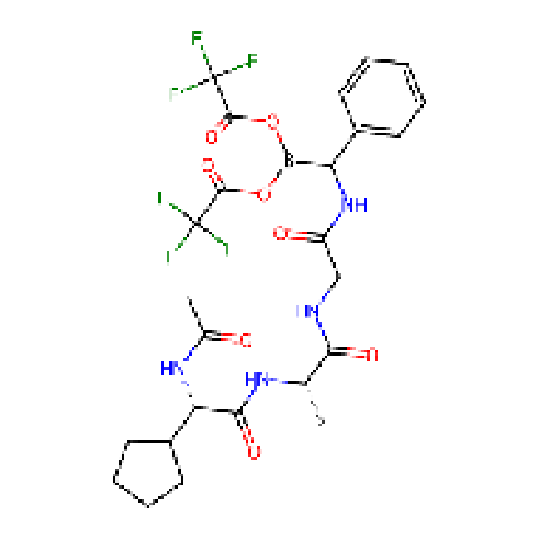 CC(=O)N[C@H](C(=O)N[C@@H](C)C(=O)NCC(=O)NC(B(OC(=O)C(F)(F)F)OC(=O)C(F)(F)F)c1ccccc1)C1CCCC1